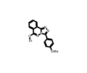 CCOc1nn2c(-c3ccc(OC)cc3)nnc2c2ccccc12